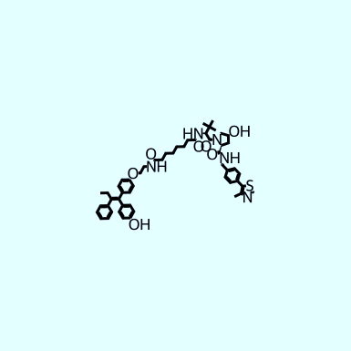 CC/C(=C(/c1ccc(O)cc1)c1ccc(OCCNC(=O)CCCCCCC(=O)N[C@H](C(=O)N2C[C@H](O)C[C@H]2C(=O)NCc2ccc(-c3scnc3C)cc2)C(C)(C)C)cc1)c1ccccc1